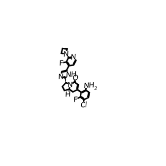 Nc1ccc(Cl)c(F)c1C1=CC(=O)N2[C@H](CC[C@H]2c2ncc(-c3ccnc(N4CCC4)c3F)[nH]2)C1